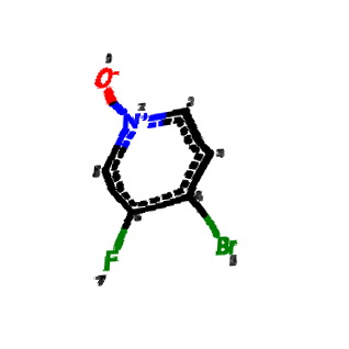 [O-][n+]1ccc(Br)c(F)c1